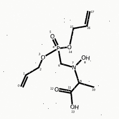 C=CCOP(=O)(CN(O)C(C)C(=O)O)OCC=C